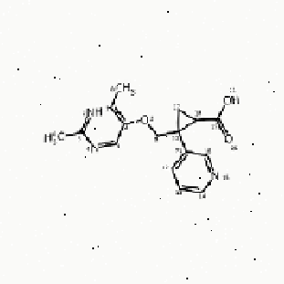 C/C=C(/C=N\C(C)=N)OCC1(c2cccnc2)CC1C(=O)O